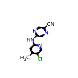 Cc1cc(Nc2cnc(C#N)cn2)ncc1Cl